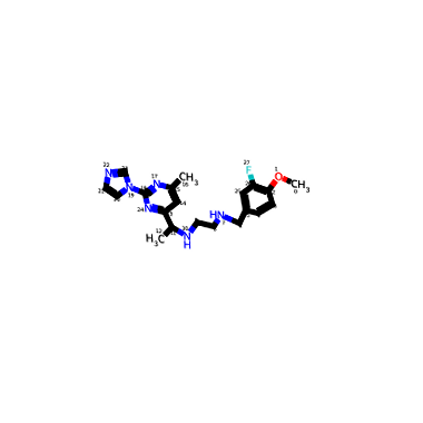 COc1ccc(CNCCNC(C)c2cc(C)nc(-n3ccnc3)n2)cc1F